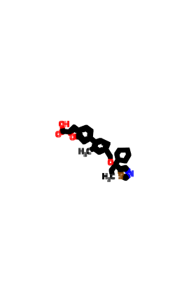 CCC(OCc1ccc(-c2ccc3cc(C(=O)O)oc3c2)c(C)c1)(c1cncs1)C1CCCCC1